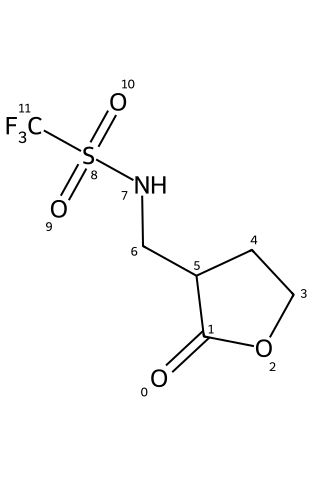 O=C1OCCC1CNS(=O)(=O)C(F)(F)F